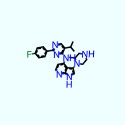 CC(C)c1cnc(-c2ccc(F)cc2)nc1Nc1ccnc2[nH]cc(N3CCNCC3C)c12